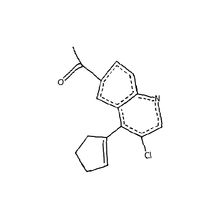 CC(=O)c1ccc2ncc(Cl)c(C3=CCCC3)c2c1